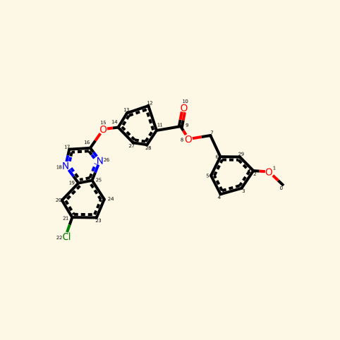 COc1cccc(COC(=O)c2ccc(Oc3cnc4cc(Cl)ccc4n3)cc2)c1